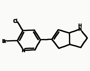 Clc1cc(C2=CC3NCCC3C2)cnc1Br